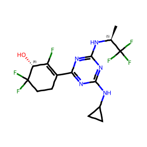 C[C@H](Nc1nc(NC2CC2)nc(C2=C(F)[C@@H](O)C(F)(F)CC2)n1)C(F)(F)F